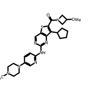 COC1CN(C(=O)c2sc3cnc(Nc4ccc(N5CCN(C)CC5)cn4)nc3c2C2CCCC2)C1